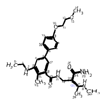 CCNc1cc(-c2ccc(OCCOC)cc2)cc(C(=O)NC/C(C(N)=O)=C(\C)NC)c1C